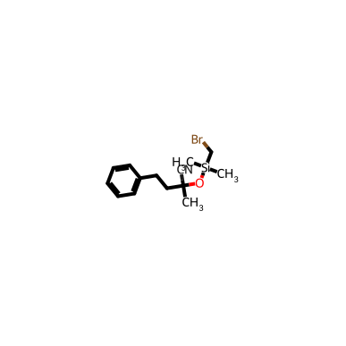 CC(C#N)(CCc1ccccc1)O[Si](C)(C)CBr